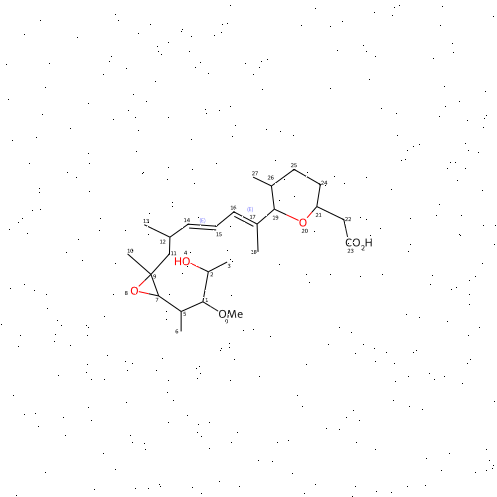 COC(C(C)O)C(C)C1OC1(C)CC(C)/C=C/C=C(\C)C1OC(CC(=O)O)CCC1C